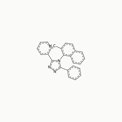 Cc1ccc2ccccc2c1-n1c(-c2ccccc2)nnc1-c1ccccc1